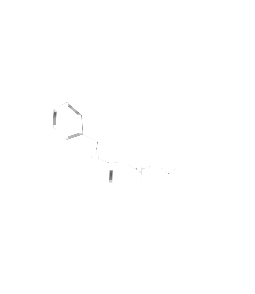 CCONO[PH](=O)OCc1ccccc1